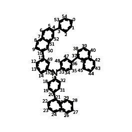 c1ccc(-c2ccc3ccc(-c4cccc(N(c5ccc(-c6cccc7ccccc67)cc5)c5ccc(-c6cccc7ccccc67)cc5)c4)cc3c2)cc1